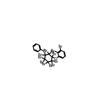 Brc1cccc(OC2(Br)C(Br)(Br)C(Br)(Br)C(Br)(Br)C(Br)(Oc3ccccc3)C2(Br)Br)c1Br